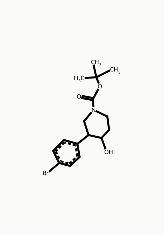 CC(C)(C)OC(=O)N1CCC(O)C(c2ccc(Br)cc2)C1